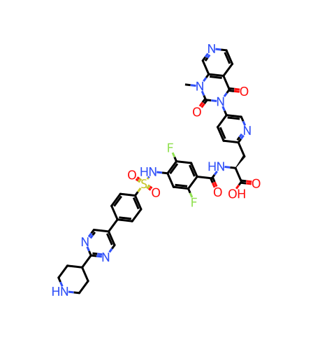 Cn1c(=O)n(-c2ccc(C[C@H](NC(=O)c3cc(F)c(NS(=O)(=O)c4ccc(-c5cnc(C6CCNCC6)nc5)cc4)cc3F)C(=O)O)nc2)c(=O)c2ccncc21